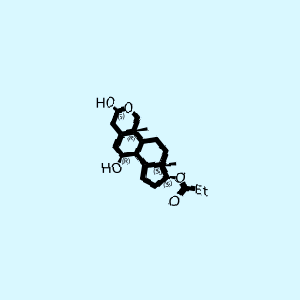 CCC(=O)O[C@H]1CCC2C3C(CC[C@@]21C)[C@@]1(C)CO[C@H](O)CC1=C[C@@H]3O